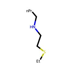 CCCCNCCSCC